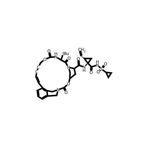 C=C[C@@H]1C[C@]1(NC(=O)C1CC2CN1C(=O)C(C(C)(C)C)NC(=O)OCCC/C=C\c1cccc3c1CN(C3)C(=O)O2)C(=O)NS(=O)(=O)C1CC1